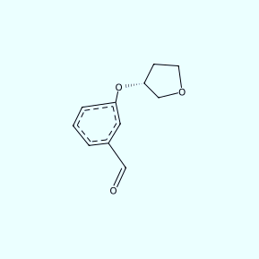 O=Cc1cccc(O[C@@H]2CCOC2)c1